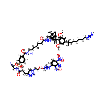 COc1cc(C(C)(C)CCCCCCN=[N+]=[N-])cc(OC)c1[C@H]1C=C(CNC(=O)CCCCCCNC(=O)c2ccc(S(=O)(=O)N(CC#N)C(=O)CCc3cn(CCOCCNc4ccc([N+](=O)[O-])c5nonc45)nn3)cc2)[C@H]2C[C@@H]1C2(C)C